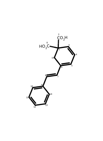 O=C(O)C1(C(=O)O)C=CC=C(C=Cc2ccccc2)C1